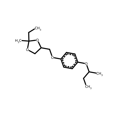 CCC(C)Oc1ccc(OCC2COC(C)(CC)O2)cc1